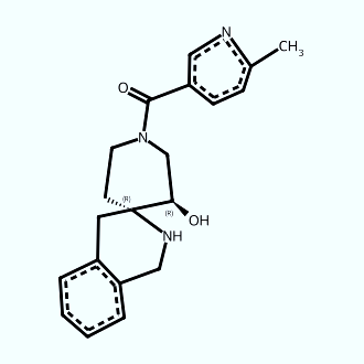 Cc1ccc(C(=O)N2CC[C@]3(Cc4ccccc4CN3)[C@H](O)C2)cn1